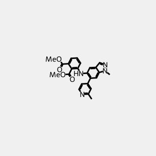 COC(=O)c1cccc(Nc2cc3cnn(C)c3cc2-c2ccnc(C)c2)c1C(=O)OC